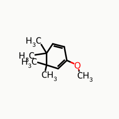 COC1=CC(C)(C)C(C)(C)C=C1